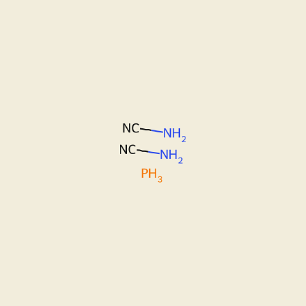 N#CN.N#CN.P